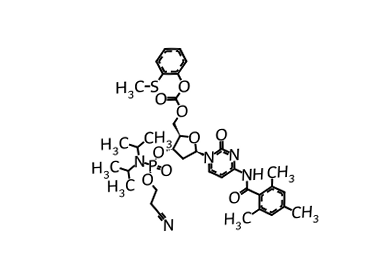 CSc1ccccc1OC(=O)OC[C@H]1O[C@@H](n2ccc(NC(=O)c3c(C)cc(C)cc3C)nc2=O)C[C@@H]1OP(=O)(OCCC#N)N(C(C)C)C(C)C